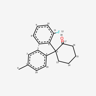 Cc1ccc(C2(c3ccccc3F)CCCCC2=O)cc1